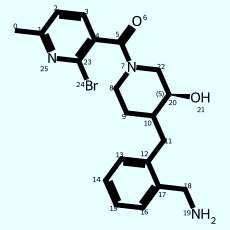 Cc1ccc(C(=O)N2CCC(Cc3ccccc3CN)[C@H](O)C2)c(Br)n1